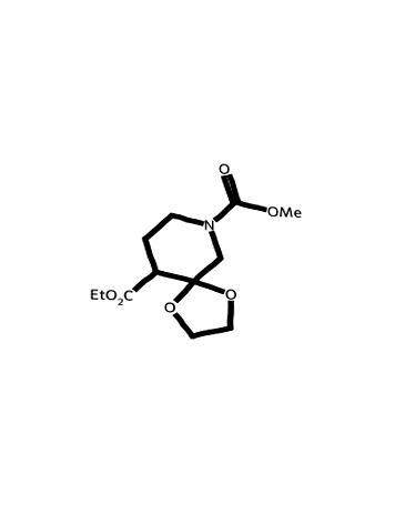 CCOC(=O)C1CCN(C(=O)OC)CC12OCCO2